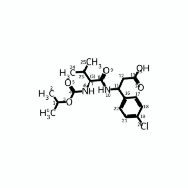 CC(C)OC(=O)N[C@H](C(=O)NC(CC(=O)O)c1ccc(Cl)cc1)C(C)C